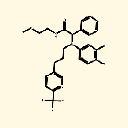 COCCNC(=O)C(c1ccccc1)N(CCCc1ccc(C(F)(F)F)nc1)c1ccc(F)c(C)c1